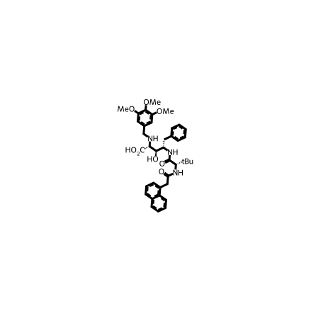 COc1cc(CN[C@@H](C(=O)O)[C@H](O)[C@H](Cc2ccccc2)NC(=O)[C@@H](NC(=O)Cc2cccc3ccccc23)C(C)(C)C)cc(OC)c1OC